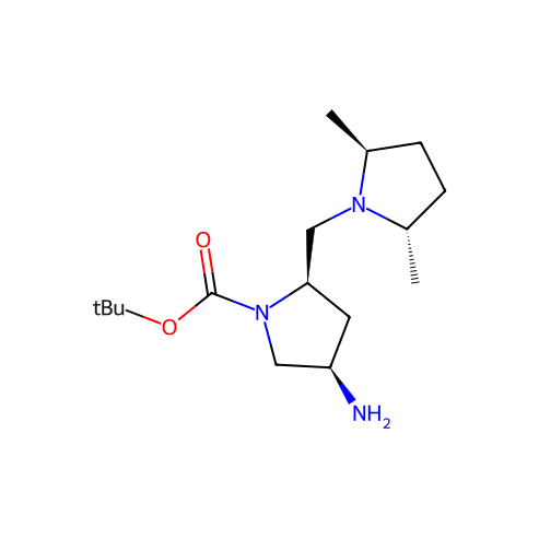 C[C@H]1CC[C@H](C)N1C[C@H]1C[C@@H](N)CN1C(=O)OC(C)(C)C